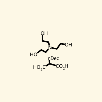 CCCCCCCCCCC(C(=O)O)C(=O)O.OCCN(CCO)CCO